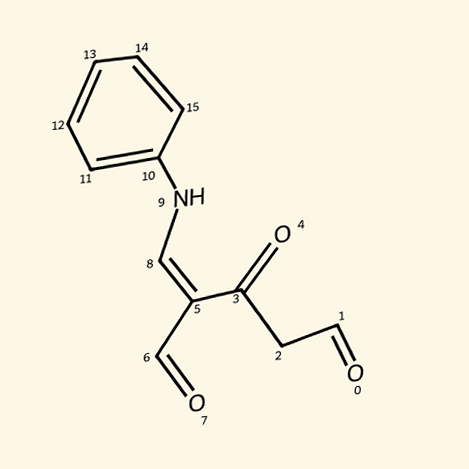 O=CCC(=O)/C(C=O)=C\Nc1ccccc1